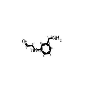 NCc1cccc(NC[C]=O)c1